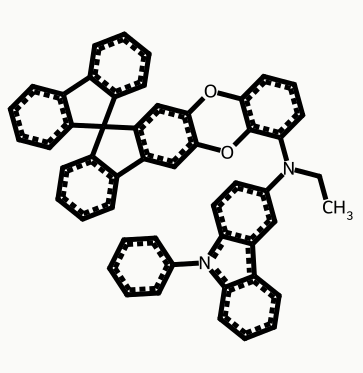 CCN(c1ccc2c(c1)c1ccccc1n2-c1ccccc1)c1cccc2c1Oc1cc3c(cc1O2)C1(c2ccccc2-c2ccccc21)c1ccccc1-3